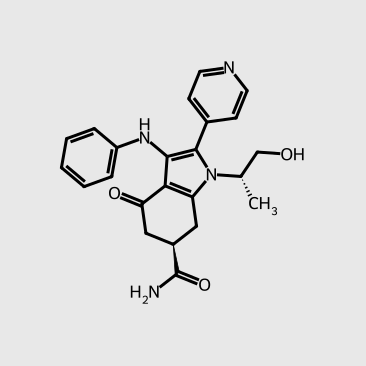 C[C@@H](CO)n1c2c(c(Nc3ccccc3)c1-c1ccncc1)C(=O)C[C@H](C(N)=O)C2